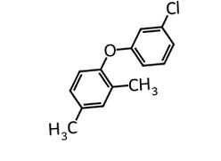 Cc1ccc(Oc2cccc(Cl)c2)c(C)c1